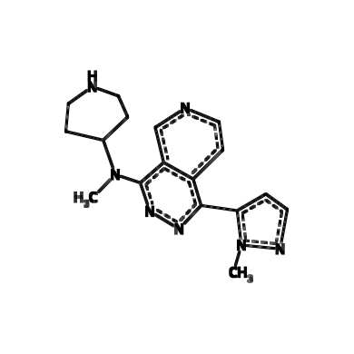 CN(c1nnc(-c2ccnn2C)c2ccncc12)C1CCNCC1